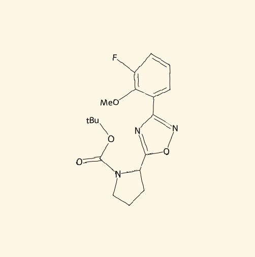 COc1c(F)cccc1-c1noc(C2CCCN2C(=O)OC(C)(C)C)n1